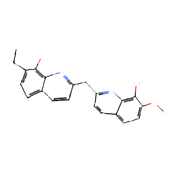 CCc1ccc2ccc(Cc3ccc4ccc(OC)c(O)c4n3)nc2c1O